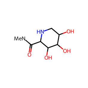 CNC(=O)C1NCC(O)C(O)C1O